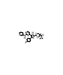 CN(C)C(=O)C1(C)COC(c2nc(-c3ccc(F)cc3)c(-c3ccnc(Nc4cccnc4)n3)[nH]2)OC1